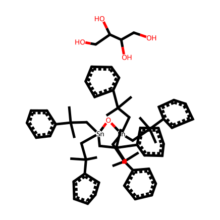 CC(C)([CH2][Sn]([CH2]C(C)(C)c1ccccc1)([CH2]C(C)(C)c1ccccc1)[O][Sn]([CH2]C(C)(C)c1ccccc1)([CH2]C(C)(C)c1ccccc1)[CH2]C(C)(C)c1ccccc1)c1ccccc1.OCC(O)C(O)CO